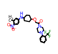 Cc1cc(NC2CCC(OCC(=O)N3CCN(c4ccccc4C(F)(F)F)CC3)CC2)ccc1[N+](=O)[O-]